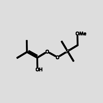 COC[Si](C)(C)OOC(O)=C(C)C